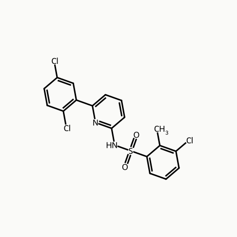 Cc1c(Cl)cccc1S(=O)(=O)Nc1cccc(-c2cc(Cl)ccc2Cl)n1